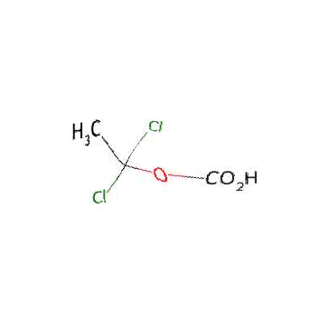 CC(Cl)(Cl)OC(=O)O